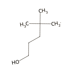 [CH2]C(C)(C)CCCO